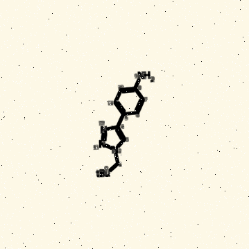 CC(C)(C)Cn1cc(-c2ccc(N)cc2)nn1